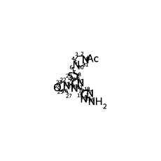 CC(=O)N1CCCN(Cc2cc3nc(-c4cnc(N)nc4)nc(N4CCOC[C@@H]4C)c3s2)CC1